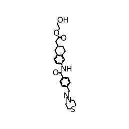 O=C(CC1CCc2cc(NC(=O)c3ccc(C=NN4CCSCC4)cc3)ccc2C1)OCCO